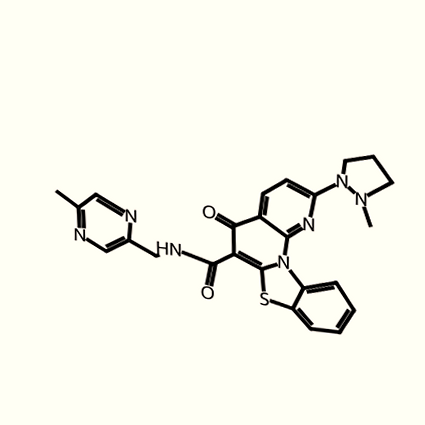 Cc1cnc(CNC(=O)c2c(=O)c3ccc(N4CCCN4C)nc3n3c2sc2ccccc23)cn1